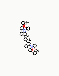 CC(C)(C)c1cccc2c1oc1c(N(c3ccccc3)c3cc4c(c5ccccc35)-c3ccc5c(c3C4(C)C)C(C)(C)c3cc(N(c4ccccc4)c4cccc6c4oc4c(C(C)(C)C)cccc46)c4ccccc4c3-5)cccc12